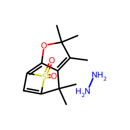 CC1=C2C(=C3C=C(C2(C)C)S3(=O)=O)OC1(C)C.NN